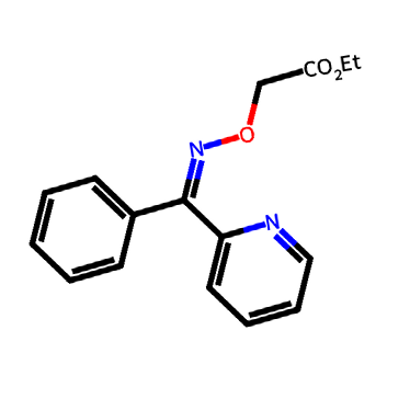 CCOC(=O)CON=C(c1ccccc1)c1ccccn1